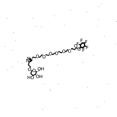 O=C(CCOCCOCCOCCOCCOCCOCCn1cc(CCO[C@H]2C[C@@H](O)[C@@H](O)[C@@H](CO)O2)nn1)Oc1c(F)c(F)c(F)c(F)c1F